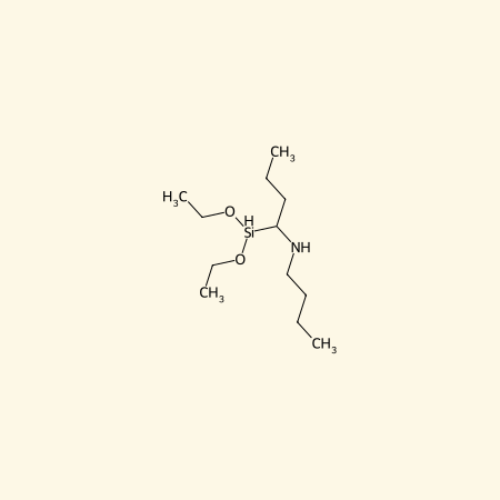 CCCCNC(CCC)[SiH](OCC)OCC